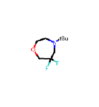 CC(C)(C)N1CCOCC(F)(F)C1